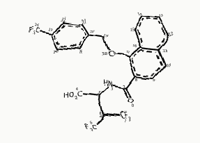 O=C(NC(C(=O)O)C(C(F)(F)F)C(F)(F)F)c1ccc2ccccc2c1OCc1ccc(C(F)(F)F)cc1